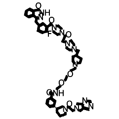 O=C(NCCOCCOCCN1CCC(CN2CCN(CC(=O)N3CCN(C(=O)c4cc(Cc5n[nH]c(=O)c6ccccc56)ccc4F)CC3)CC2)CC1)c1cccc([C@H]2CCCN(C(=O)CN3Cc4cncnc4C3)C2)c1